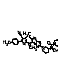 CCc1nc2sc(N3CCCC(N(C)C(=O)N4CCOCC4)C3)nn2c1N(C)c1nc(-c2ccc(C)cc2)c(C#N)s1